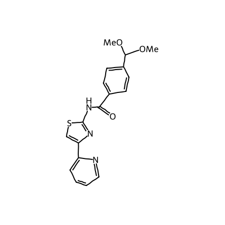 COC(OC)c1ccc(C(=O)Nc2nc(-c3ccccn3)cs2)cc1